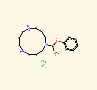 Cl.Cl.[CH3][Ti]([O]c1ccccc1)[N]1CCCNCCCNCCC1